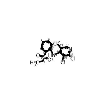 CCS(=O)(=O)c1ccccc1Nc1c(Cl)cnc(Cl)c1Cl